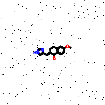 COc1ccc2c(c1)CCC(=Cc1c[nH]cn1)C2=O